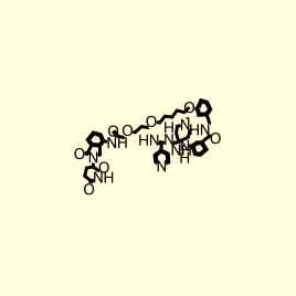 CN1CCC(Nc2cccc(C(=O)NCc3cccc(OCCCCCOCCCOCC(=O)Nc4cccc5c4CN(C4CCC(=O)NC4=O)C5=O)c3)c2)(C(=N)NC(=N)c2ccncc2)CC1